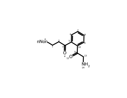 CCCCCCCCCCCC(=O)c1ccccc1C(=O)CN